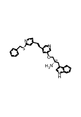 N[C@H](COc1cncc(C=Cc2ccnc(SCc3ccccc3)c2)c1)Cc1c[nH]c2ccccc12